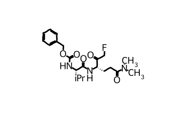 CC(C)[C@H](NC(=O)OCc1ccccc1)C(=O)N[C@@H](CCC(=O)N(C)C)C(=O)CF